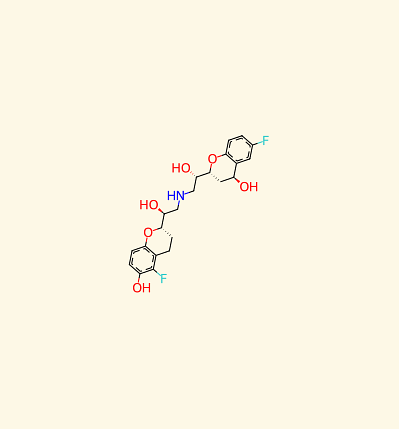 Oc1ccc2c(c1F)CC[C@@H]([C@@H](O)CNC[C@H](O)[C@H]1C[C@H](O)c3cc(F)ccc3O1)O2